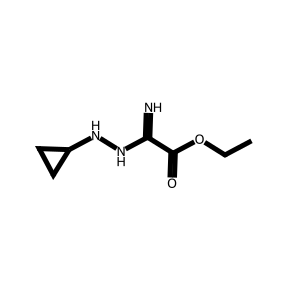 CCOC(=O)C(=N)NNC1CC1